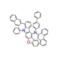 c1ccc(-c2ccc(N(c3cc4ccccc4c4ccccc34)c3c4c(cc5c3c3cccc(-c6ccc7ccccc7c6)c3n5-c3ccccc3)oc3ccccc34)cc2)cc1